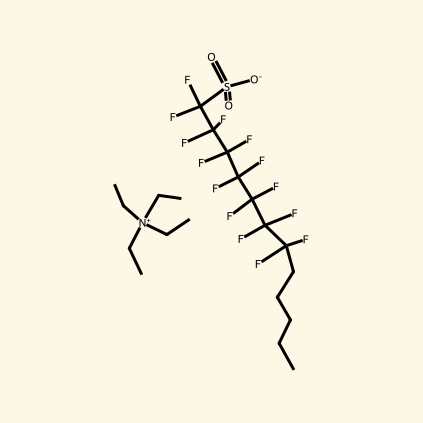 CCCCCC(F)(F)C(F)(F)C(F)(F)C(F)(F)C(F)(F)C(F)(F)C(F)(F)S(=O)(=O)[O-].CC[N+](CC)(CC)CC